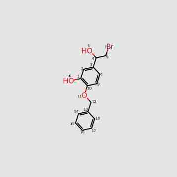 Oc1cc(C(O)CBr)ccc1OCc1ccccc1